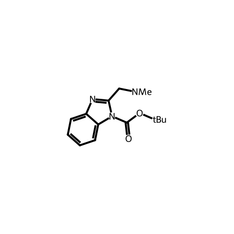 CNCc1nc2ccccc2n1C(=O)OC(C)(C)C